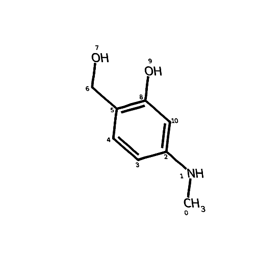 CNc1ccc(CO)c(O)c1